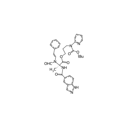 CC(C)(C)OC(=O)N(CCCOC(=O)[C@@](C)(NC(=O)c1ccc2[nH]ncc2c1)N(C=O)/C=C/c1ccccc1)c1ccccn1